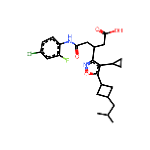 CC(C)CC1CC(c2onc(C(CC(=O)O)CC(=O)Nc3ccc(Cl)cc3F)c2C2CC2)C1